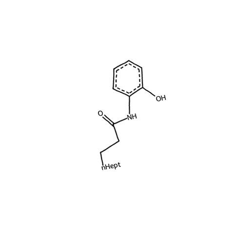 CCCCCCCCCC(=O)Nc1ccccc1O